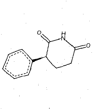 O=C1CC[C@@H](c2ccccc2)C(=O)N1